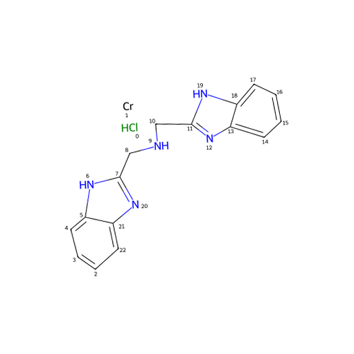 Cl.[Cr].c1ccc2[nH]c(CNCc3nc4ccccc4[nH]3)nc2c1